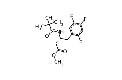 COC(=O)C[C@@H](Cc1cc(F)c(F)cc1F)N[S@@+]([O-])C(C)(C)C